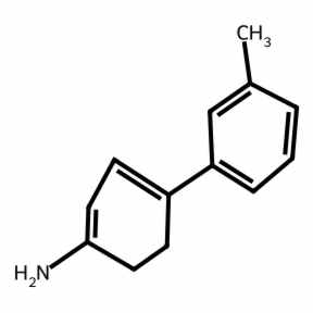 Cc1cccc(C2=CC=C(N)CC2)c1